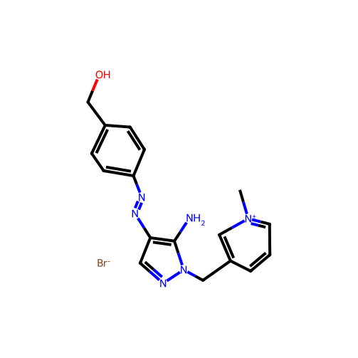 C[n+]1cccc(Cn2ncc(N=Nc3ccc(CO)cc3)c2N)c1.[Br-]